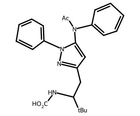 CC(=O)N(c1ccccc1)c1cc(CC(NC(=O)O)C(C)(C)C)nn1-c1ccccc1